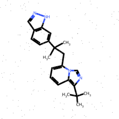 CC(C)(C)c1ncn2c(CC(C)(C)c3ccc4cn[nH]c4c3)cccc12